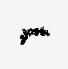 CC(O[N+](=O)[O-])C1CCN(OC(=O)CN)CC1